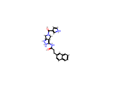 O=C(CCc1ccc2ccccc2c1)Nc1[nH]nc2c1CN(C(=O)c1cc[nH]c1)C2